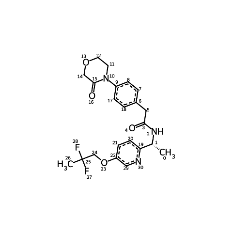 C[C@@H](NC(=O)Cc1ccc(N2CCOCC2=O)cc1)c1ccc(OCC(C)(F)F)cn1